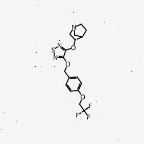 FC(F)(F)COc1ccc(COc2nsnc2OC2CN3CCC2C3)cc1